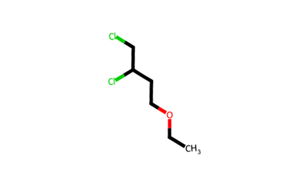 CCOCCC(Cl)CCl